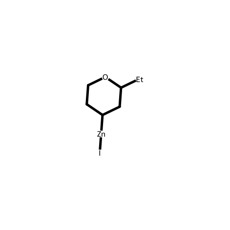 CCC1C[CH]([Zn][I])CCO1